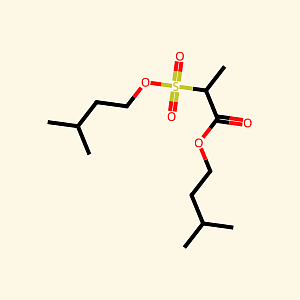 CC(C)CCOC(=O)C(C)S(=O)(=O)OCCC(C)C